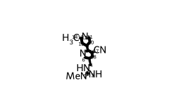 CNC(=N)NCc1cnc(-c2ccnc(C)c2)c(C#N)c1